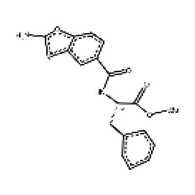 CC(C)(C)OC(=O)[C@H](Cc1ccccc1)NC(=O)c1ccc2oc(N)nc2c1